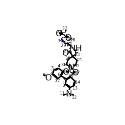 COc1cccc(-c2cc(N(C)C)ccc2S(=O)(=O)N2CCC(F)(C(=O)N[C@@H](C)/C=C\S(C)(=O)=O)CC2)c1